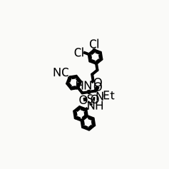 CCN(C)C(=O)C(Cc1ccc(C#N)cc1)(NC(=O)CCc1ccc(Cl)c(Cl)c1)S(=O)(=O)Nc1cccc2ccccc12